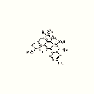 COc1ccc2c(c1)-c1c(C)c(-c3ccc(C)cc3)c([C@H](OC(C)(C)C)C(=O)O)c(C)c1N(S(C)(=O)=O)C2